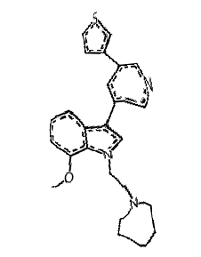 COc1cccc2c(-c3cncc(-c4ccsc4)c3)cn(CCN3CCCCC3)c12